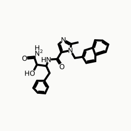 Cc1ncc(C(=O)NC(Cc2ccccc2)C(O)C(N)=O)n1Cc1ccc2ccccc2c1